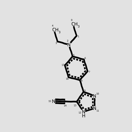 CCN(CC)c1ccc(-c2nn[nH]c2C#N)cc1